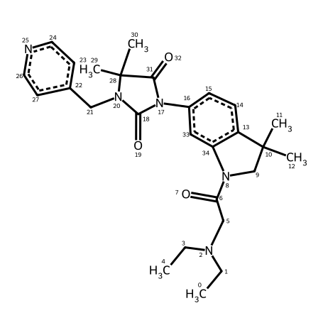 CCN(CC)CC(=O)N1CC(C)(C)c2ccc(N3C(=O)N(Cc4ccncc4)C(C)(C)C3=O)cc21